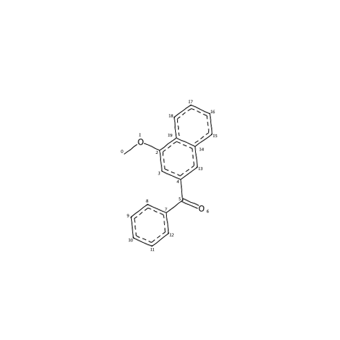 COc1cc(C(=O)c2ccccc2)cc2ccccc12